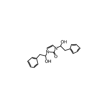 O=c1n(C(O)Cc2ccccc2)ccn1C(O)Cc1ccccc1